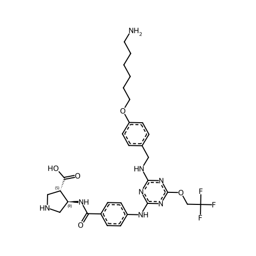 NCCCCCCOc1ccc(CNc2nc(Nc3ccc(C(=O)N[C@H]4CNC[C@@H]4C(=O)O)cc3)nc(OCC(F)(F)F)n2)cc1